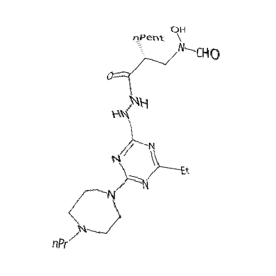 CCCCC[C@H](CN(O)C=O)C(=O)NNc1nc(CC)nc(N2CCN(CCC)CC2)n1